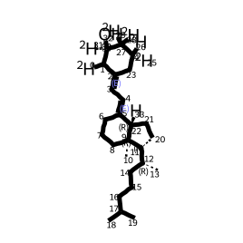 [2H]C1/C(=C/C=C2\CCC[C@]3(C)[C@@H]([C@H](C)CCCC(C)C)CC[C@@H]23)CC([2H])([2H])C([2H])([2H])[C@]1([2H])O